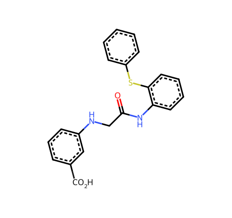 O=C(CNc1cccc(C(=O)O)c1)Nc1ccccc1Sc1ccccc1